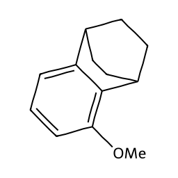 COc1cccc2c1C1CCC2CC1